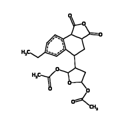 CCc1ccc2c(c1)C(C1CC(OC(C)=O)OC1OC(C)=O)CC1C(=O)OC(=O)C21